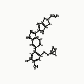 CCOC(=O)N1Cc2nc(-c3n[nH]c4cc(-c5cc(F)c(O)cc5CC[N+]56CC5C6)ccc34)[nH]c2C1